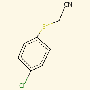 N#CCSc1ccc(Cl)cc1